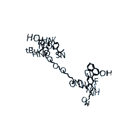 Cc1ncsc1-c1ccc([C@H](C)NC(=O)[C@@H]2C[C@@H](O)CN2C(=O)[C@@H](NC(=O)COCCOCCOCCCCC(=O)N2CCN(c3nc(NCCC(=O)N(C)C)nc4c(F)c(-c5cc(O)cc6ccccc56)c(Cl)cc34)CC2)C(C)(C)C)cc1